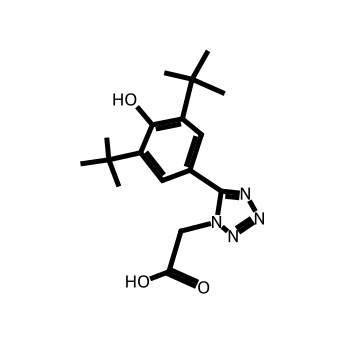 CC(C)(C)c1cc(-c2nnnn2CC(=O)O)cc(C(C)(C)C)c1O